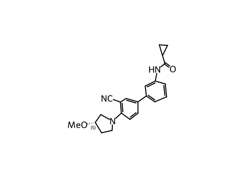 CO[C@H]1CCN(c2ccc(-c3cccc(NC(=O)C4CC4)c3)cc2C#N)C1